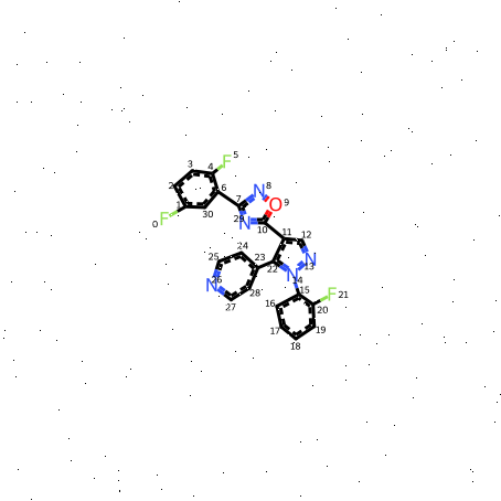 Fc1ccc(F)c(-c2noc(-c3cnn(-c4ccccc4F)c3-c3ccncc3)n2)c1